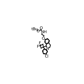 CC(C)(C)OC(=O)NCCOc1ccc2c(c1)C(C1(c3ccc(Cl)cc3)CC(F)(F)C1)=NCC2